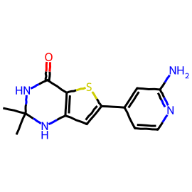 CC1(C)NC(=O)c2sc(-c3ccnc(N)c3)cc2N1